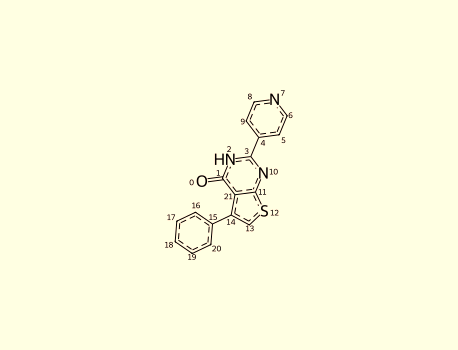 O=c1[nH]c(-c2ccncc2)nc2scc(-c3ccccc3)c12